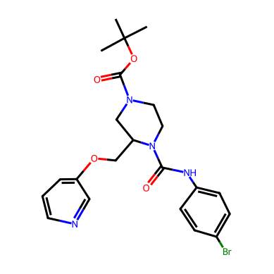 CC(C)(C)OC(=O)N1CCN(C(=O)Nc2ccc(Br)cc2)C(COc2cccnc2)C1